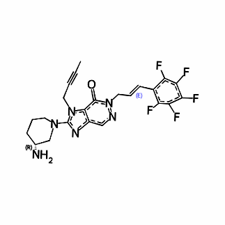 CC#CCn1c(N2CCC[C@@H](N)C2)nc2cnn(C/C=C/c3c(F)c(F)c(F)c(F)c3F)c(=O)c21